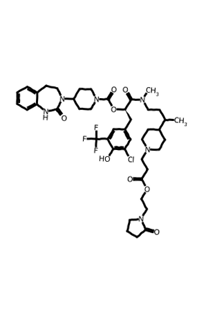 CC(CCN(C)C(=O)[C@@H](Cc1cc(Cl)c(O)c(C(F)(F)F)c1)OC(=O)N1CCC(N2CCc3ccccc3NC2=O)CC1)C1CCN(CCC(=O)OCCN2CCCC2=O)CC1